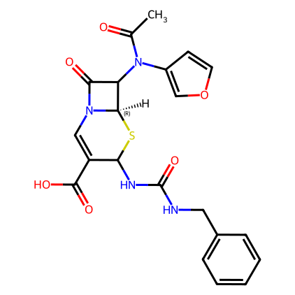 CC(=O)N(c1ccoc1)C1C(=O)N2C=C(C(=O)O)C(NC(=O)NCc3ccccc3)S[C@H]12